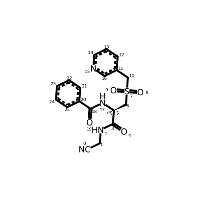 N#CCNC(=O)[C@H](CS(=O)(=O)Cc1cccnc1)NC(=O)c1ccccc1